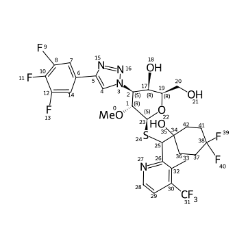 CO[C@@H]1[C@@H](n2cc(-c3cc(F)c(F)c(F)c3)nn2)[C@@H](O)[C@@H](CO)O[C@H]1SC(c1nccc(C(F)(F)F)c1C)C1(O)CCC(F)(F)CC1